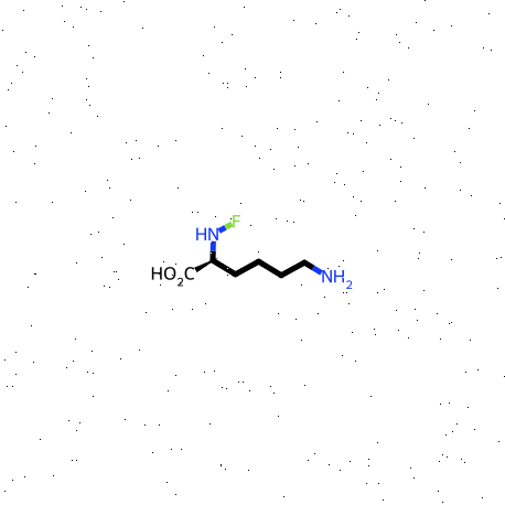 NCCCC[C@H](NF)C(=O)O